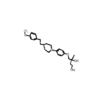 CC(O)(CCO)COc1ccc(N2CCC(CCc3ccc(OC(F)(F)F)cc3)CC2)cc1